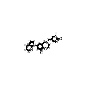 O=c1ncc(CN2CCOc3c(Cl)cc(-n4ccc5cccnc54)cc3C2)c[nH]1